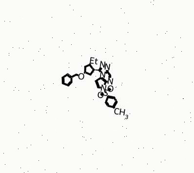 CCC1C[C@H](OCc2ccccc2)C[C@@H]1c1nnc2cnc3c(ccn3S(=O)(=O)c3ccc(C)cc3)n12